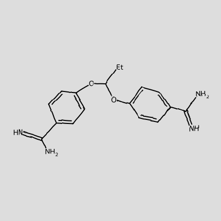 CCC(Oc1ccc(C(=N)N)cc1)Oc1ccc(C(=N)N)cc1